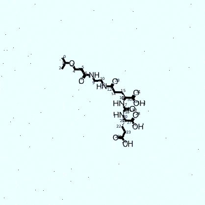 CC(C)OCCC(=O)NCCNC(=O)CC[C@H](NC(=O)N[C@@H](CCC(=O)O)C(=O)O)C(=O)O